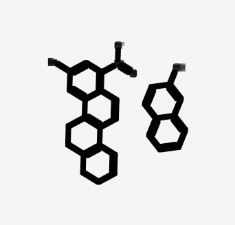 O=[N+]([O-])c1cc(Br)cc2c3c(ccc12)C1=C(CCC=C1)CC3.Oc1ccc2ccccc2c1